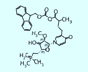 C=P(C)(C)CC[C@H]1O[C@@H](n2ccc(=O)c(CCC(C)C(=O)OC(=O)OCC3c4ccccc4-c4ccccc43)c2)[C@H](OC)[C@@H]1O